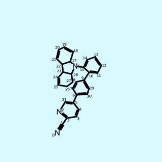 N#Cc1ccc(-c2ccc(-c3ccccc3N3C4C=CC=CC4C4C=CCCC43)cc2)cn1